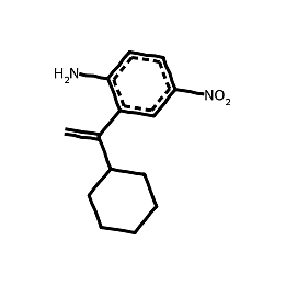 C=C(c1cc([N+](=O)[O-])ccc1N)C1CCCCC1